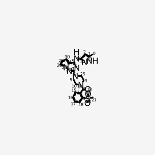 Cc1cc(Nc2nc(N3CCN(C(=O)c4ccccc4S(C)(=O)=O)CC3)nn3cccc23)n[nH]1